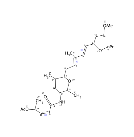 CCCOC(/C=C/C(C)=C/CC1OC(C)C(NC(=O)/C=C\C(C)OC(C)=O)CC1C)CCOC